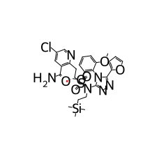 COc1cccc(OC)c1-n1c(-c2ccco2)nnc1N(CC[Si](C)(C)C)S(=O)(=O)[C@H](C)Cc1ncc(Cl)cc1C(N)=O